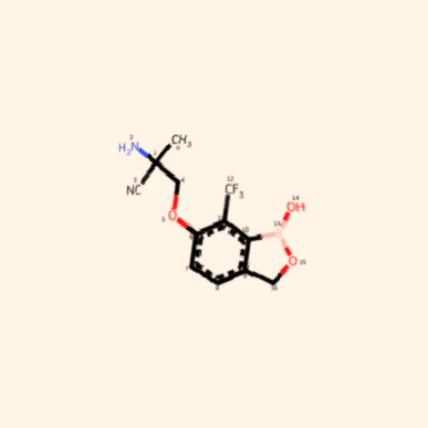 CC(N)(C#N)COc1ccc2c(c1C(F)(F)F)B(O)OC2